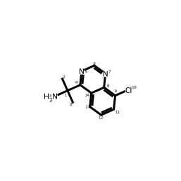 CC(C)(N)c1ncnc2c(Cl)cccc12